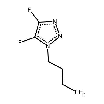 CCCCn1nnc(F)c1F